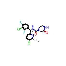 O=C1CN(C(=O)N[C@H](c2ccc(Cl)c(C(F)(F)F)n2)c2ccc(F)c(Cl)c2F)CCN1